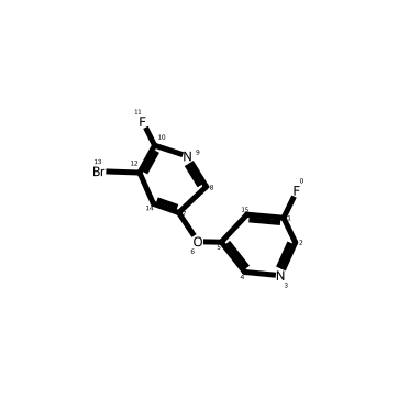 Fc1cncc(Oc2cnc(F)c(Br)c2)c1